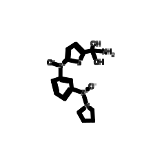 NC(O)(O)c1ccc([S+]([O-])c2cccc([S+]([O-])N3CCCC3)c2)s1